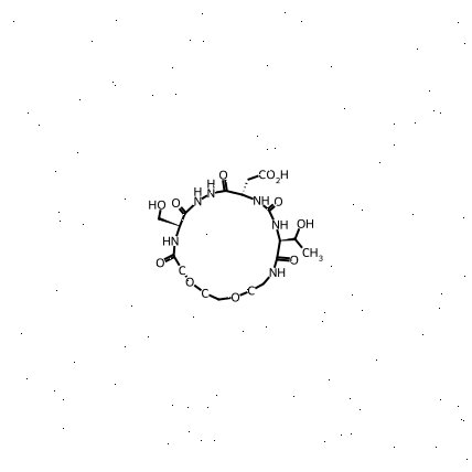 CC(O)[C@@H]1NC(=O)N[C@@H](CC(=O)O)C(=O)NNC(=O)[C@H](CO)NC(=O)COCCOCCNC1=O